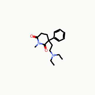 CCN(CC)CCC1(c2ccccc2)CCC(=O)N(C)C1=O